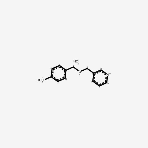 Cl.O=C(O)c1ccc(COCc2cccnc2)cc1